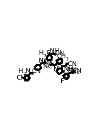 CC1(C(N)=CC#N)CCCCC1.Cc1cccc(C(N)=CC#N)c1.N#CC=C(N)C1CCCCC1.N#CC=C(N)CC1CCCCC1.N#CC=C(N)c1ccc(F)cc1.N#CC=C(N)c1cccc(Cl)c1